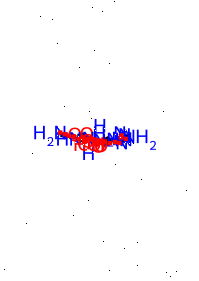 NCCCCCC(=O)Nc1ccc(C(=O)NCCCC(NC(=O)c2ccc(NCc3cnc4nc(N)nc(N)c4n3)cc2)C(=O)O)c(C(=O)O)c1